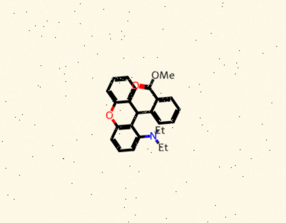 CCN(CC)c1cccc2c1C(c1ccccc1C(=O)OC)c1ccccc1O2